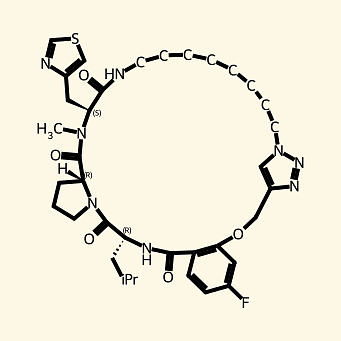 CC(C)C[C@H]1NC(=O)c2ccc(F)cc2OCc2cn(nn2)CCCCCCCCNC(=O)[C@H](Cc2cscn2)N(C)C(=O)[C@H]2CCCN2C1=O